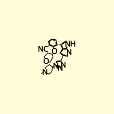 CN1CCC(n2cc(-c3cnc4[nH]cc(-c5cccc(C#N)c5OC5CCOCC5)c4c3)nn2)CC1